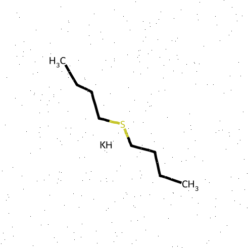 CCCCSCCCC.[KH]